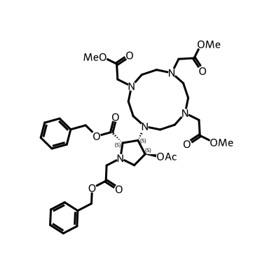 COC(=O)CN1CCN(CC(=O)OC)CCN([C@@H]2[C@@H](OC(C)=O)CN(CC(=O)OCc3ccccc3)[C@@H]2C(=O)OCc2ccccc2)CCN(CC(=O)OC)CC1